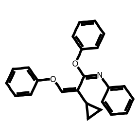 C(Oc1ccccc1)=C(C(=Nc1ccccc1)Oc1ccccc1)C1CC1